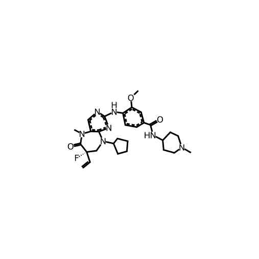 C=C[C@]1(F)CN(C2CCCC2)c2nc(Nc3ccc(C(=O)NC4CCN(C)CC4)cc3OC)ncc2N(C)C1=O